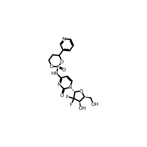 O=c1nc(NP2(=O)OCCC(c3cccnc3)O2)ccn1[C@@H]1O[C@@H](CO)[C@@H](O)C1(F)F